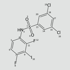 O=S(=O)(Nc1ccc(F)c(I)c1F)c1cc(Cl)cc(Cl)c1